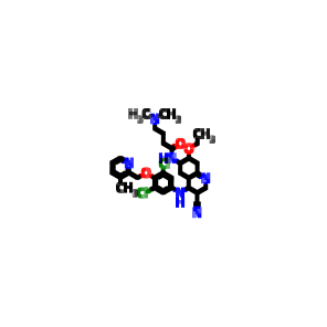 CCOC1CC2=NCC(C#N)C(Nc3cc(Cl)c(OCc4ncccc4C)c(Cl)c3)C2CC1NC(=O)CCCN(C)C